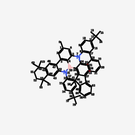 Cc1cc2c3c(c1)N(c1ccc(C(C)(C)C)cc1-c1ccccc1)c1ccc4c(c1B3N(c1ccc(C(C)(C)C)cc1)c1cc3c(cc1-2)C(C)(C)CCC3(C)C)C(C)(C)c1ccccc1-4